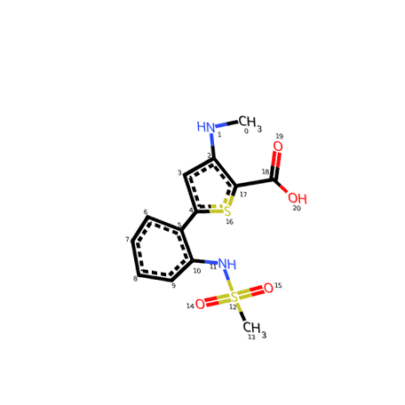 CNc1cc(-c2ccccc2NS(C)(=O)=O)sc1C(=O)O